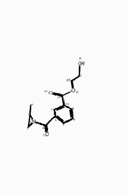 CC1CN1C(=O)c1cccc(C(=O)OCCO)c1